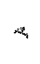 CCCN(C)CCCN(CCCNC(C)CC)CC[Si](CC)(OC)OC